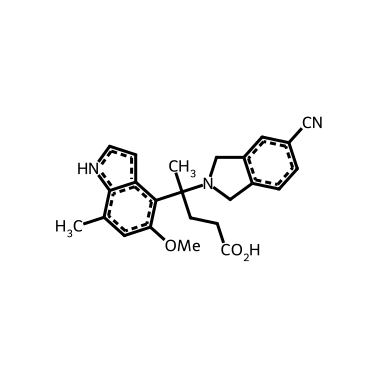 COc1cc(C)c2[nH]ccc2c1C(C)(CCC(=O)O)N1Cc2ccc(C#N)cc2C1